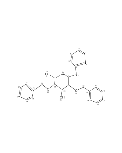 CC1OC(Sc2ccccc2)C(OCc2ccccc2)C(O)C1OCc1ccccc1